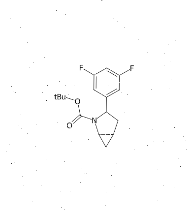 CC(C)(C)OC(=O)N1C(c2cc(F)cc(F)c2)CC2CC21